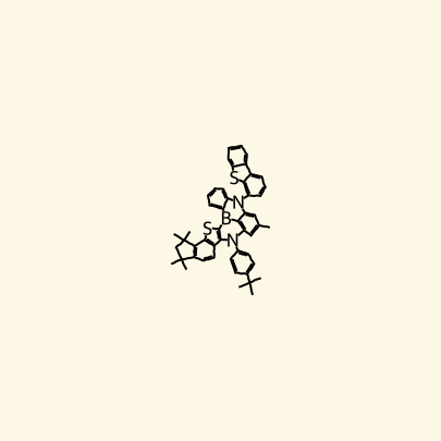 Cc1cc2c3c(c1)N(c1cccc4c1sc1ccccc14)c1ccccc1B3c1sc3c4c(ccc3c1N2c1ccc(C(C)(C)C)cc1)C(C)(C)CC4(C)C